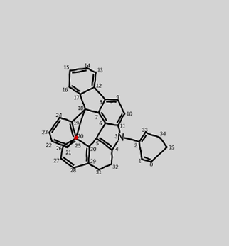 C1=CC(n2c3c4c5c6c(ccc52)-c2ccccc2C6(c2ccccc2)c2cccc(c2-4)CC3)=CCC1